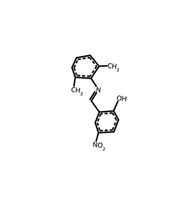 Cc1cccc(C)c1/N=C/c1cc([N+](=O)[O-])ccc1O